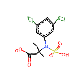 CC(C)(C(=O)O)N(c1cc(Cl)cc(Cl)c1)S(=O)(=O)O